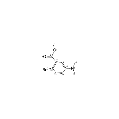 COC(=O)c1cc(N(C)C)ccc1Br